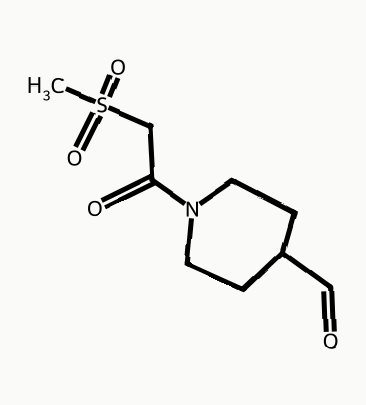 CS(=O)(=O)CC(=O)N1CCC(C=O)CC1